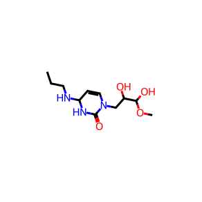 CCCNC1C=CN(CC(O)C(O)OC)C(=O)N1